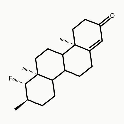 C[C@@H]1CCC2C3CCC4=CC(=O)CC[C@]4(C)C3CC[C@]2(C)[C@H]1F